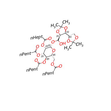 CCCCCCCC(=O)O[C@@H]1[C@H](OC(O)[C@H]2OC(C)(C)O[C@H]2[C@@H]2COC(C)(C)O2)O[C@H](COC(=O)CCCCC)[C@@H](OC(=O)CCCCC)[C@@H]1OC(=O)CCCCC